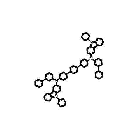 c1ccc(-c2cccc(N(c3ccc(-c4ccc(-c5ccc(N(c6cccc(-c7ccccc7)c6)c6ccc7c(c6)c6ccccc6n7-c6ccccc6)cc5)cc4)cc3)c3ccc4c(c3)c3ccccc3n4-c3ccccc3)c2)cc1